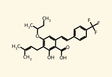 CCC(C)Oc1cc(C=Cc2ccc(C(F)(F)F)cc2)c(C(=O)O)c(O)c1CC=C(C)C